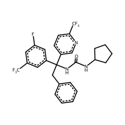 O=C(NC1CCCC1)NC(Cc1ccccc1)(c1ccc(C(F)(F)F)nc1)c1cc(F)cc(C(F)(F)F)c1